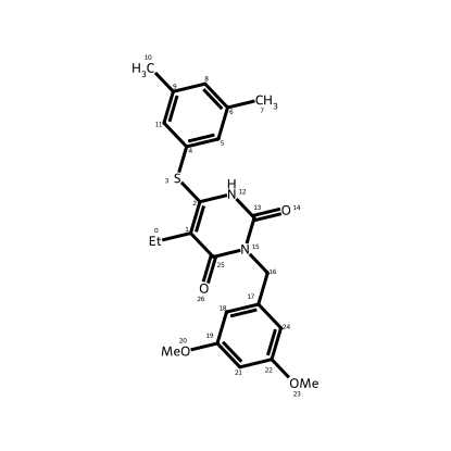 CCc1c(Sc2cc(C)cc(C)c2)[nH]c(=O)n(Cc2cc(OC)cc(OC)c2)c1=O